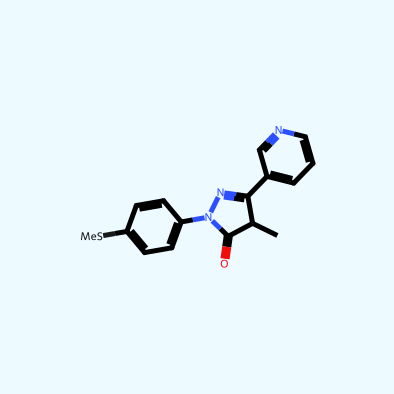 CSc1ccc(N2N=C(c3cccnc3)C(C)C2=O)cc1